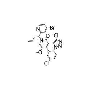 C=CCC(c1cc(Br)ccn1)n1cc(OC)c(-c2cc(Cl)ccc2-n2cc(Cl)nn2)cc1=O